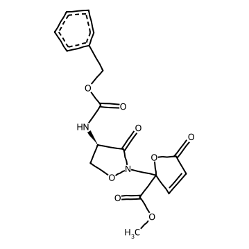 COC(=O)C1(N2OC[C@@H](NC(=O)OCc3ccccc3)C2=O)C=CC(=O)O1